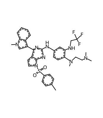 Cc1ccc(S(=O)(=O)n2ccc3c(-c4cn(C)c5ccccc45)nc(Nc4ccc(N(C)CCN(C)C)c(NCC(F)(F)F)c4)nc32)cc1